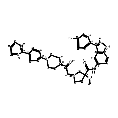 CSC1(C(=O)Nc2ccc3[nH]nc(-c4ccc(F)cc4)c3c2)CCN(CC(=O)N2CCN(c3ccc(-c4ncccn4)cc3)CC2)C1